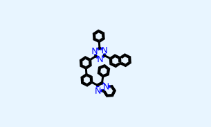 c1ccc(-c2nc(-c3cccc(-c4cccc(-c5nc6ccccn6c5-c5ccccc5)c4)c3)nc(-c3ccc4ccccc4c3)n2)cc1